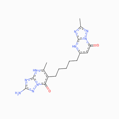 Cc1nc2[nH]c(CCCCCc3c(C)[nH]c4nc(N)nn4c3=O)cc(=O)n2n1